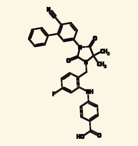 CC1(C)C(=O)N(c2ccc(C#N)c(-c3ccccc3)c2)C(=O)N1Cc1ccc(F)cc1Nc1ccc(C(=O)O)cc1